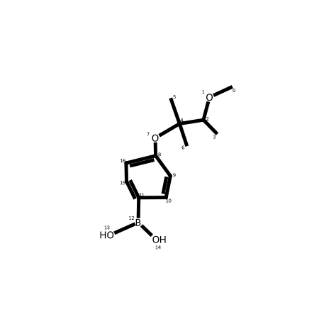 COC(C)C(C)(C)Oc1ccc(B(O)O)cc1